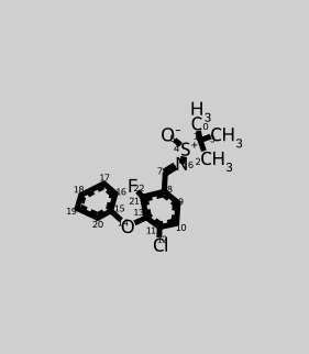 CC(C)(C)[S+]([O-])N=Cc1ccc(Cl)c(Oc2ccccc2)c1F